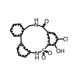 O=C1NCc2ccccc2-c2cccc(c2)NS(=O)(=O)c2cc1cc(Cl)c2O